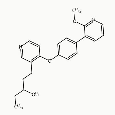 CCC(O)CCc1cnccc1Oc1ccc(-c2cccnc2OC)cc1